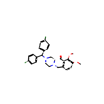 COc1ccc(CN2CCN(C(c3ccc(F)cc3)c3ccc(F)cc3)CC2)c(C=O)c1OC